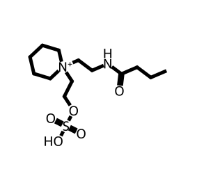 CCCC(=O)NCC[N+]1(CCOS(=O)(=O)O)CCCCC1